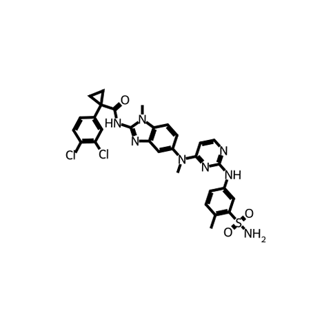 Cc1ccc(Nc2nccc(N(C)c3ccc4c(c3)nc(NC(=O)C3(c5ccc(Cl)c(Cl)c5)CC3)n4C)n2)cc1S(N)(=O)=O